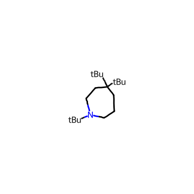 CC(C)(C)N1CCCC(C(C)(C)C)(C(C)(C)C)CC1